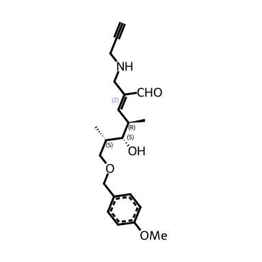 C#CCNC/C(C=O)=C/[C@@H](C)[C@H](O)[C@@H](C)COCc1ccc(OC)cc1